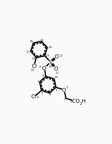 O=C(O)COc1cc(Cl)cc(OS(=O)(=O)c2ccccc2Cl)c1